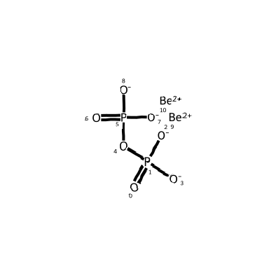 O=P([O-])([O-])OP(=O)([O-])[O-].[Be+2].[Be+2]